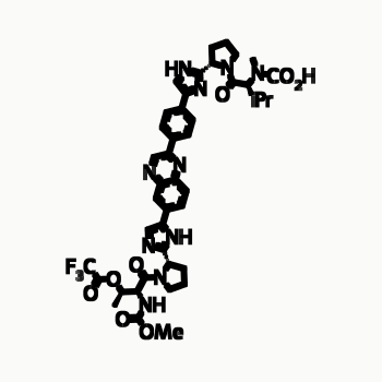 COC(=O)N[C@H](C(=O)N1CCC[C@H]1c1ncc(-c2ccc3nc(-c4ccc(-c5c[nH]c([C@@H]6CCCN6C(=O)[C@H](C(C)C)N(C)C(=O)O)n5)cc4)cnc3c2)[nH]1)[C@@H](C)OC(=O)C(F)(F)F